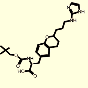 CC(C)(C)COC(=O)N[C@@H](Cc1ccc2c(c1)CCC(CCCNc1ncc[nH]1)O2)C(=O)O